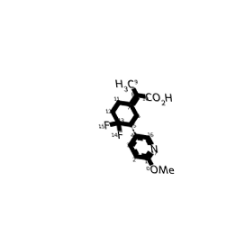 COc1ccc([C@H]2CC(=C(C)C(=O)O)CCC2(F)F)cn1